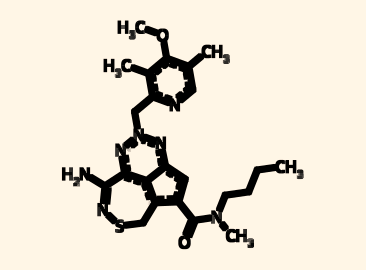 CCCCN(C)C(=O)c1cc2nn(Cc3ncc(C)c(OC)c3C)nc3c-2c1CSN=C3N